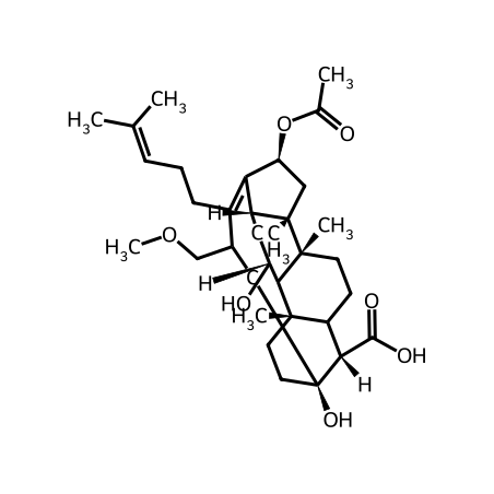 COCC1C[C@@]2(O)CC[C@@]3(C)C(CC[C@]4(C)C3[C@H](O)C[C@@H]3C(=C1CCC=C(C)C)[C@@H](OC(C)=O)C[C@@]34C)[C@@H]2C(=O)O